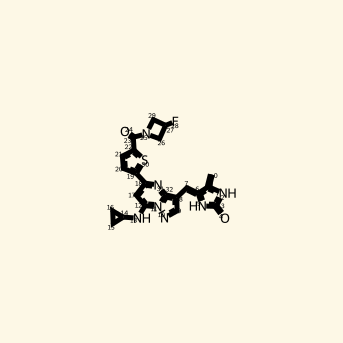 C=c1[nH]c(=O)[nH]/c1=C\c1cnn2c(NC3CC3)cc(-c3ccc(C(=O)N4CC(F)C4)s3)nc12